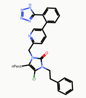 CCCCCc1c(Cl)n(CCc2ccccc2)c(=O)n1Cc1ccc(-c2ccccc2-c2nnn[nH]2)cn1